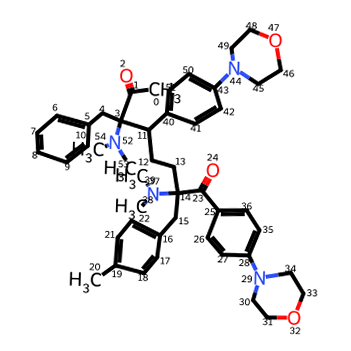 CC(=O)C(Cc1ccccc1)(C(CCC(Cc1ccc(C)cc1)(C(=O)c1ccc(N2CCOCC2)cc1)N(C)C)c1ccc(N2CCOCC2)cc1)N(C)C